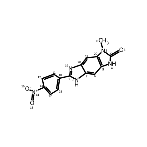 Cn1c(=O)[nH]c2cc3[nH]c(-c4ccc([N+](=O)[O-])cc4)nc3cc21